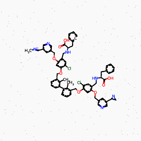 C/N=C/c1cncc(COc2cc(OCc3cccc(-c4cccc(COc5cc(OCc6cncc(C7=NC7)c6)c(CNC(Cc6ccccc6)C(=O)O)cc5Cl)c4C)c3C)c(Cl)cc2CNC(Cc2ccccc2)C(=O)O)c1